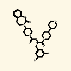 O=C(O[C@H](Cc1cc(Br)cc(Br)c1)C(=O)N1CCC(C2CCNCC2)CC1)N1CCC(N2CCc3ccccc3NC2=O)CC1